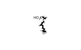 CC(=C=CCC(C)CCCC(C)(C)Cl)CC(=O)O